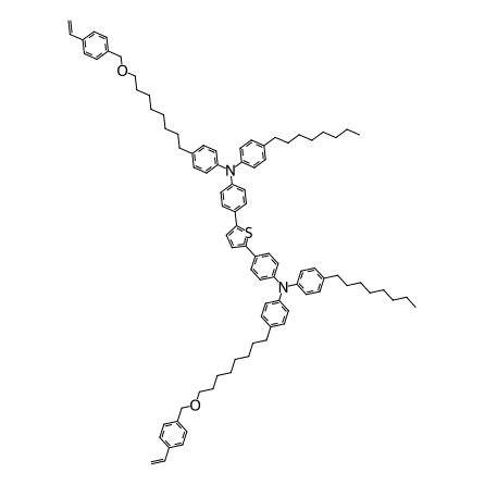 C=Cc1ccc(COCCCCCCCCc2ccc(N(c3ccc(CCCCCCCC)cc3)c3ccc(-c4ccc(-c5ccc(N(c6ccc(CCCCCCCC)cc6)c6ccc(CCCCCCCCOCc7ccc(C=C)cc7)cc6)cc5)s4)cc3)cc2)cc1